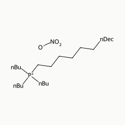 CCCCCCCCCCCCCCCC[P+](CCCC)(CCCC)CCCC.O=[N+]([O-])[O-]